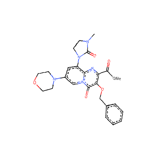 COC(=O)c1nc2c(N3CCN(C)C3=O)cc(N3CCOCC3)cn2c(=O)c1OCc1ccccc1